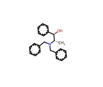 C[C@@H]([C@H](O)c1ccccc1)N(Cc1ccccc1)Cc1ccccc1